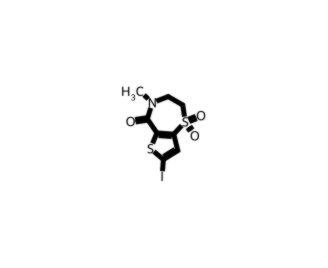 CN1CCS(=O)(=O)c2cc(I)sc2C1=O